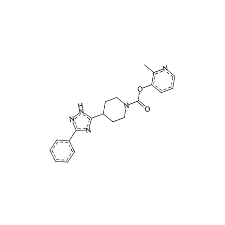 Cc1ncccc1OC(=O)N1CCC(c2nc(-c3ccccc3)n[nH]2)CC1